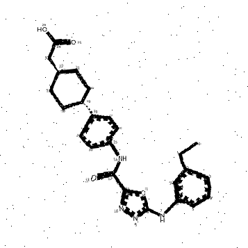 CCc1cccc(Nc2nnc(C(=O)Nc3ccc([C@H]4CC[C@H](CC(=O)O)CC4)cc3)o2)c1